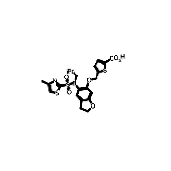 Cc1csc(S(=O)(=O)N(CC(C)C)c2cc3c(cc2OCc2ccc(C(=O)O)s2)OCC3)n1